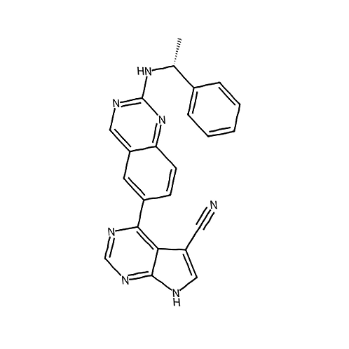 C[C@@H](Nc1ncc2cc(-c3ncnc4[nH]cc(C#N)c34)ccc2n1)c1ccccc1